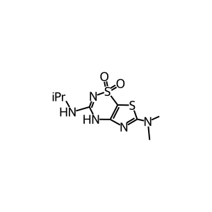 CC(C)NC1=NS(=O)(=O)c2sc(N(C)C)nc2N1